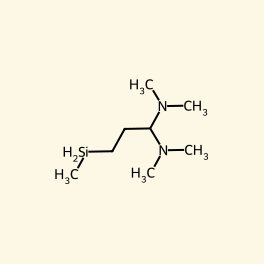 C[SiH2]CCC(N(C)C)N(C)C